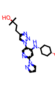 CC(C)(O)CCc1cn(-c2cnc(-n3cccn3)cc2N[C@H]2CC[C@@H](O)CC2)nn1